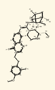 COc1ccc(CCn2cnc3cc(N=C(N[C@H]4C[C@@H]5C[C@@H]([C@H]4C)C5(C)C)N4CCN[C@@H](CF)C4)ccc3c2=O)c(F)c1